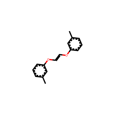 Cc1cccc(OC=COc2cccc(C)c2)c1